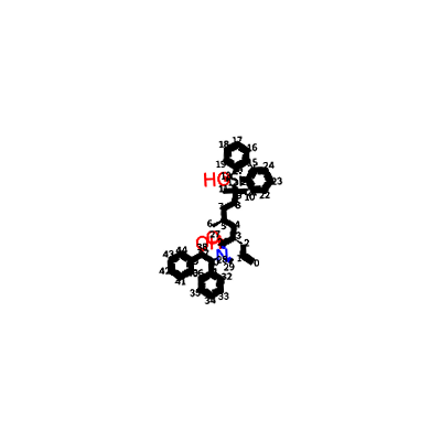 C=CC[C@@H](C[C@@H](C)CCC(C)(C)[Si](O)(c1ccccc1)c1ccccc1)C(=O)N(C)[C@H](c1ccccc1)[C@H](O)c1ccccc1